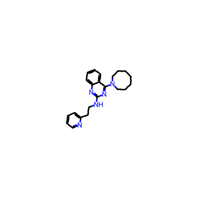 c1ccc(CCNc2nc(N3CCCCCCC3)c3ccccc3n2)nc1